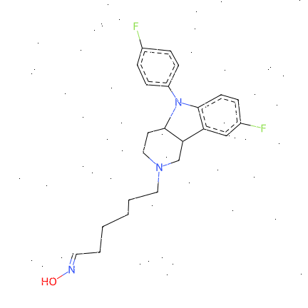 ON=CCCCCCN1CCC2C(C1)c1cc(F)ccc1N2c1ccc(F)cc1